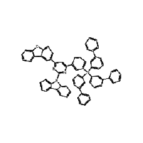 c1ccc(-c2cccc([Si](c3cccc(-c4ccccc4)c3)(c3cccc(-c4ccccc4)c3)c3cccc(-c4cc(-c5ccc6oc7ccccc7c6c5)nc(-n5c6ccccc6c6ccccc65)n4)c3)c2)cc1